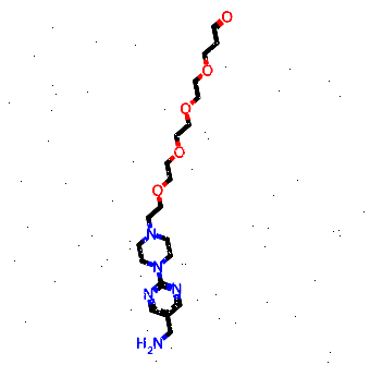 NCc1cnc(N2CCN(CCOCCOCCOCCOCCC=O)CC2)nc1